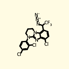 [N-]=[N+]=NC(c1ccc(Cl)c2nc3n(c12)CCCN3c1ccc(Cl)cc1Cl)C(F)(F)F